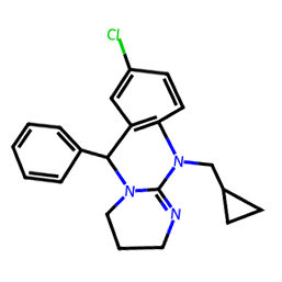 Clc1ccc2c(c1)C(c1ccccc1)N1CCCN=C1N2CC1CC1